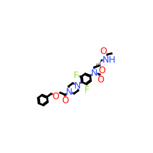 CC(=O)NC[C@H]1CN(c2cc(F)c(N3CCN(C(=O)COCc4ccccc4)CC3)c(F)c2)C(=O)O1